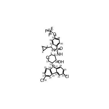 O=S(=NCC1CC1)(N[C@H]1COC[C@@H](n2c3ccc(Cl)cc3c3cc(Cl)ccc32)[C@H]1O)c1ccc(OC(F)(F)F)cc1